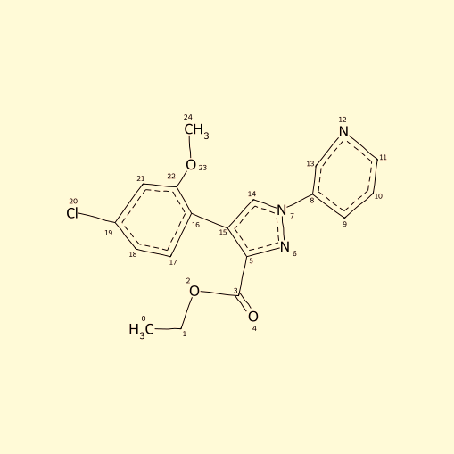 CCOC(=O)c1nn(-c2cccnc2)cc1-c1ccc(Cl)cc1OC